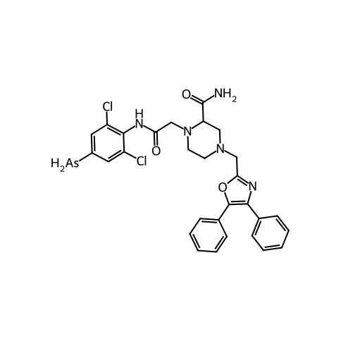 NC(=O)C1CN(Cc2nc(-c3ccccc3)c(-c3ccccc3)o2)CCN1CC(=O)Nc1c(Cl)cc([AsH2])cc1Cl